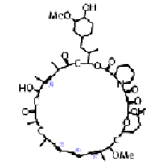 COC1CC2CCC(C)C(O)(O2)C(=O)C(=O)N2CCCCC2C(=O)OC(C(C)CC2CCC(O)C(OC)C2)CC(=O)C(C)/C=C(\C)C(O)CC(=O)C(C)CC(C)/C=C/C=C/C=C/1C